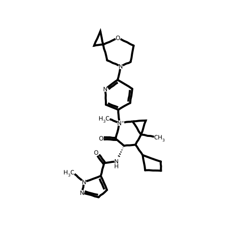 Cn1nccc1C(=O)N[C@@H]1C(=O)[N+](C)(c2ccc(N3CCOC4(CC4)C3)nc2)C2CC2(C)C1C1CCC1